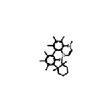 Cc1c(C)c2c3c(c1C)N(C)C=CB3N1c3c-2c(C)c(C)c(C)c3C2(C)CCCCC12C